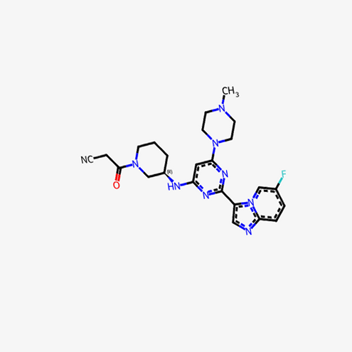 CN1CCN(c2cc(N[C@@H]3CCCN(C(=O)CC#N)C3)nc(-c3cnc4ccc(F)cn34)n2)CC1